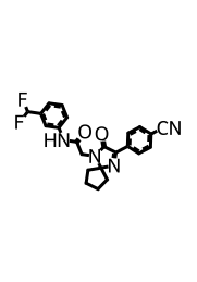 N#Cc1ccc(C2=NC3(CCCC3)N(CC(=O)Nc3cccc(C(F)F)c3)C2=O)cc1